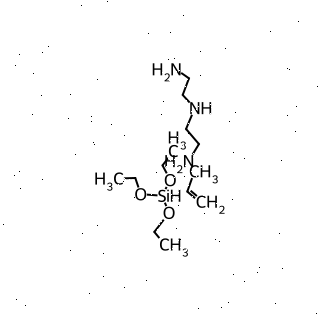 C=CC.CCO[SiH](OCC)OCC.NCCNCCN